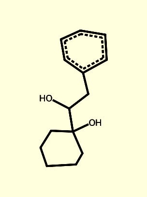 OC(Cc1ccccc1)C1(O)CCCCC1